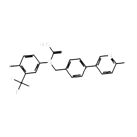 NC(=O)N(Cc1ccc(-c2ccc(F)nc2)cc1)c1ccc(Cl)c(C(F)(F)F)c1